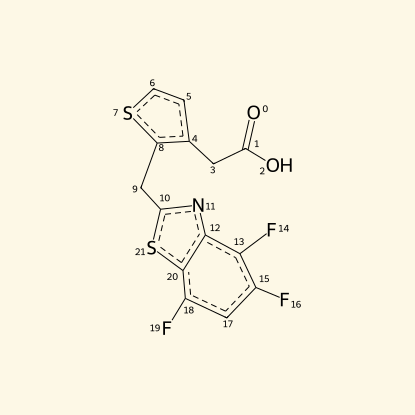 O=C(O)Cc1ccsc1Cc1nc2c(F)c(F)cc(F)c2s1